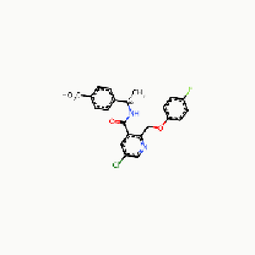 C[C@H](NC(=O)c1cc(Cl)cnc1COc1ccc(F)cc1)c1ccc(C(=O)O)cc1